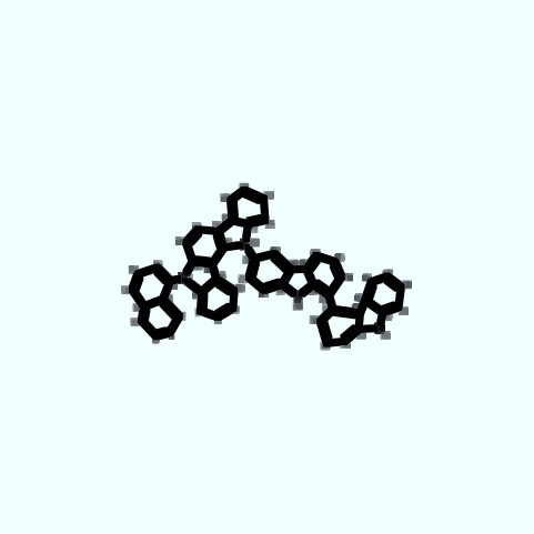 c1ccc2c(-n3c4ccccc4c4c3ccc3c5ccccc5n(-c5ccc6sc7c(-c8cccc9oc%10ccccc%10c89)cccc7c6c5)c34)cccc2c1